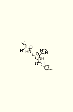 Cc1ccc(CNC(=O)C(CCCCNC(=O)C(C#N)=CC(C)(C)C)NC(=O)c2cnccn2)cc1